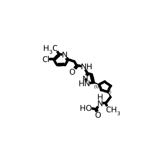 Cc1nc(CC(=O)Nc2cc([C@H]3CC[C@@H](CC(C)NC(=O)O)C3)[nH]n2)ccc1Cl